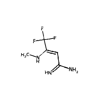 CN/C(=C\C(=N)N)C(F)(F)F